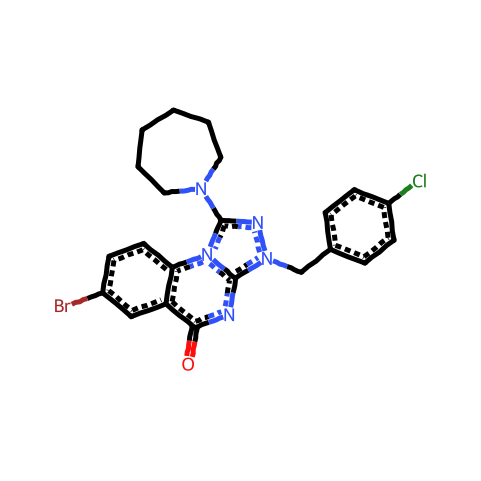 O=c1nc2n(Cc3ccc(Cl)cc3)nc(N3CCCCCC3)n2c2ccc(Br)cc12